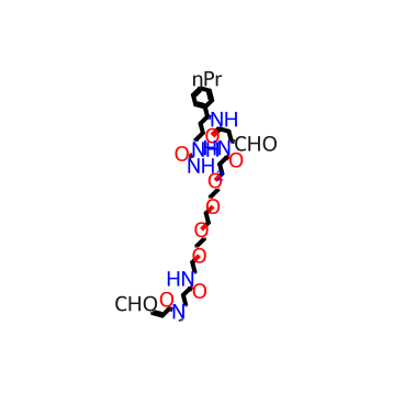 CCCc1ccc(C(CCCNC(N)=O)NC(=O)CC(C=O)NC(=O)CCOCCOCCOCCOCCNC(=O)CCN(C)C(=O)/C=C\C=O)cc1